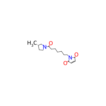 C[C@H]1CCN(C(=O)CCCCCCN2C(=O)C=CC2=O)C1